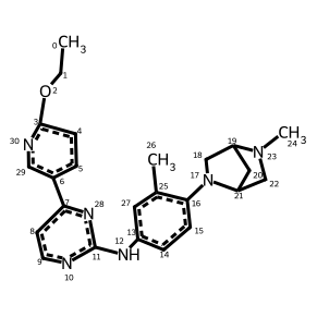 CCOc1ccc(-c2ccnc(Nc3ccc(N4CC5CC4CN5C)c(C)c3)n2)cn1